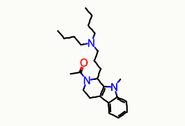 CCCCN(CCCC)CCCC1c2c(c3ccccc3n2C)CCN1C(C)=O